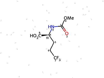 COC(=O)N[C@@H](CCC(F)(F)F)C(=O)O